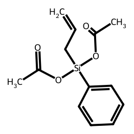 C=CC[Si](OC(C)=O)(OC(C)=O)c1ccccc1